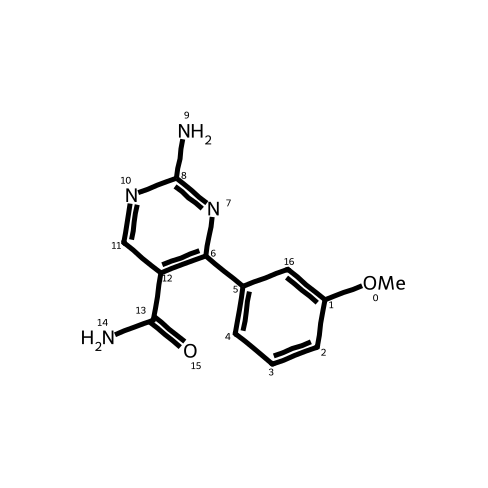 COc1cccc(-c2nc(N)ncc2C(N)=O)c1